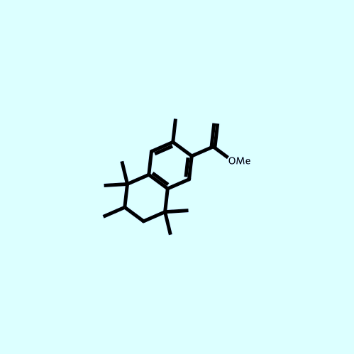 C=C(OC)c1cc2c(cc1C)C(C)(C)C(C)CC2(C)C